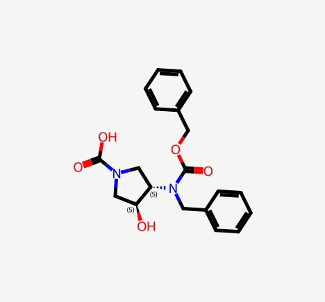 O=C(O)N1C[C@H](O)[C@@H](N(Cc2ccccc2)C(=O)OCc2ccccc2)C1